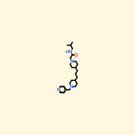 CC(C)CNC(=O)CN1CCC(CCCC2CCN(Cc3ccncc3)CC2)CC1